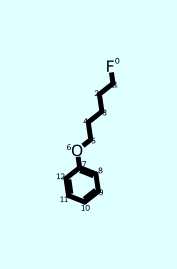 F[CH]CCCCOc1ccccc1